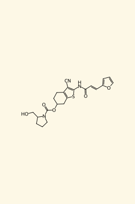 N#Cc1c(NC(=O)C=Cc2ccco2)sc2c1CCC(OC(=O)N1CCCC1CO)C2